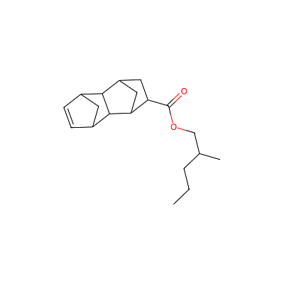 CCCC(C)COC(=O)C1CC2CC1C1C3C=CC(C3)C21